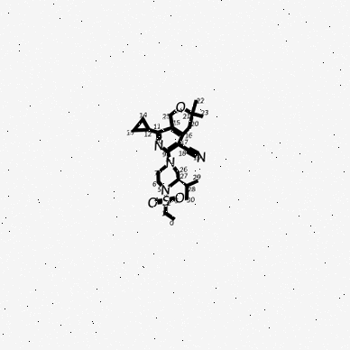 CCS(=O)(=O)N1CCN(c2nc(C3CC3)c3c(c2C#N)CC(C)(C)OC3)C[C@H]1C(C)C